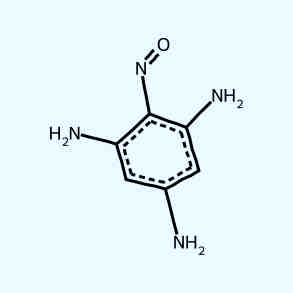 Nc1cc(N)c(N=O)c(N)c1